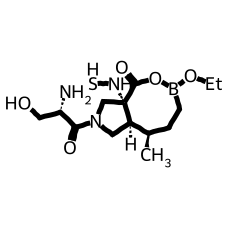 CCOB1CC[C@@H](C)[C@H]2CN(C(=O)[C@@H](N)CO)C[C@@]2(NS)C(=O)O1